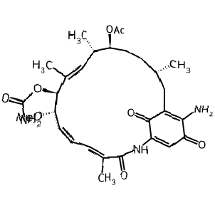 CO[C@H]1/C=C\C=C(/C)C(=O)NC2=CC(=O)C(N)=C(C[C@@H](C)CC[C@H](OC(C)=O)[C@@H](C)/C=C(\C)[C@@H]1OC(N)=O)C2=O